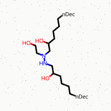 CCCCCCCCCCCCCCC(O)CNN(CCO)CC(O)CCCCCCCCCCCCCC